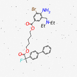 CCN(CC)Cc1cc(C(=O)OCCCCCOC(=O)C(C)(F)c2ccc(-c3ccccc3)cc2)cc(Br)c1N